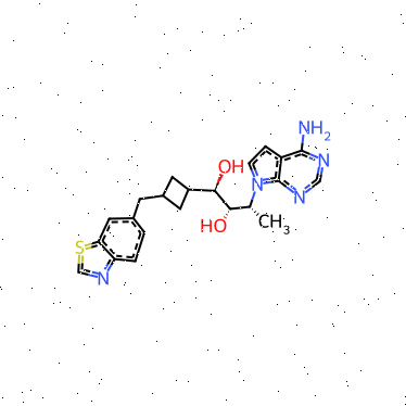 C[C@H]([C@H](O)[C@H](O)C1CC(Cc2ccc3ncsc3c2)C1)n1ccc2c(N)ncnc21